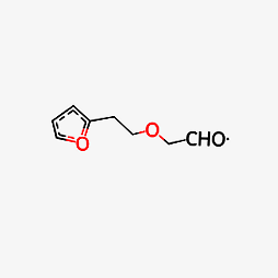 O=[C]COCCc1ccco1